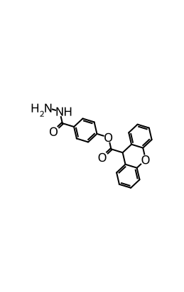 NNC(=O)c1ccc(OC(=O)C2c3ccccc3Oc3ccccc32)cc1